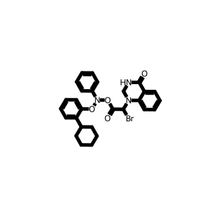 O=C1NCN(C(Br)C(=O)ON(Oc2ccccc2C2CCCCC2)c2ccccc2)c2ccccc21